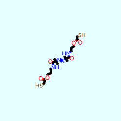 CC(C)(N=NC(C)(C)C(=O)NCCCOC(=O)CS)C(=O)NCCCOC(=O)CS